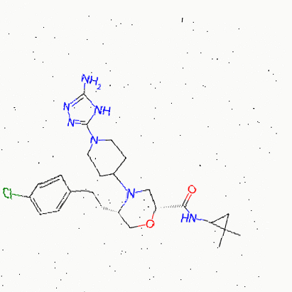 CC1(C)CC1NC(=O)[C@H]1CN(C2CCN(c3nnc(N)[nH]3)CC2)[C@@H](CCc2ccc(Cl)cc2)CO1